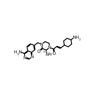 CCC[C@H]1C(=O)N(Cc2ccc3c(N)ncnc3c2)CCN1C(=O)C=CC1CCC(N)CC1